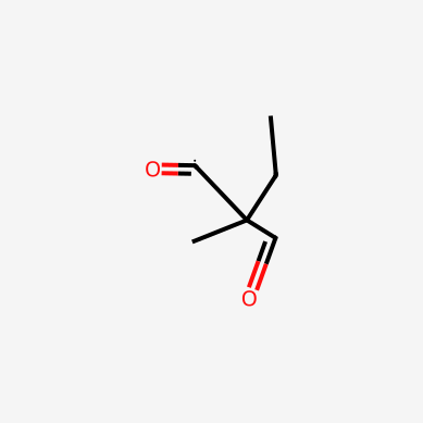 CCC(C)([C]=O)C=O